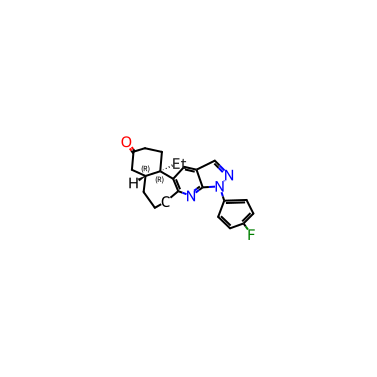 CC[C@@]12CCC(=O)C[C@H]1CCCc1nc3c(cnn3-c3ccc(F)cc3)cc12